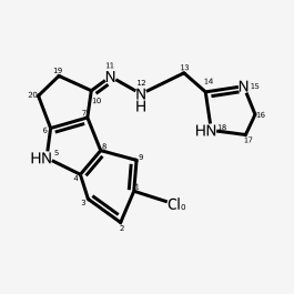 Clc1ccc2[nH]c3c(c2c1)C(=NNCC1=NCCN1)CC3